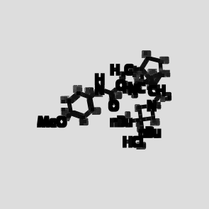 CCCCC1(CCCC)CN(CC2C(=NOC(=O)Nc3ccc(OC)cc3)C3(C)CCC2C3(C)C)C1.Cl